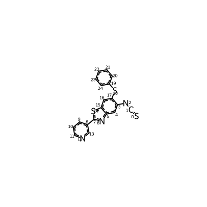 S=C=Nc1cc2nc(-c3cccnc3)sc2cc1Sc1ccccc1